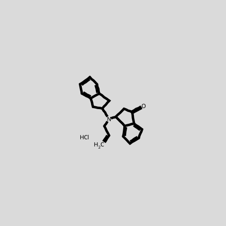 C=CCN(C1Cc2ccccc2C1)C1CC(=O)c2ccccc21.Cl